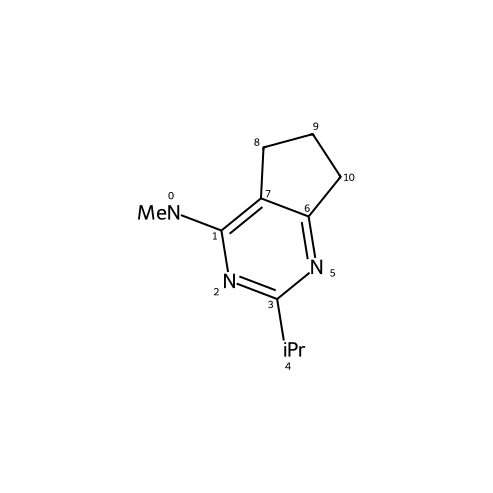 CNc1nc(C(C)C)nc2c1CCC2